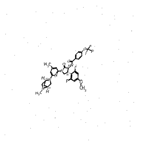 COc1cc(F)c([C@@H]2CN(c3cc(C)cc(N4C[C@@H]5C[C@H]4CN5C)n3)C(=O)C2NC(=O)c2ccc(OC(F)(F)F)cc2)c(F)c1